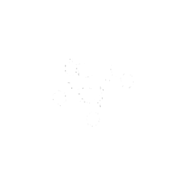 Cc1ccn([C@@H]2O[C@@](COC(=O)c3ccccc3)(N=[N+]=[N-])[C@@H](OC(=O)c3ccccc3)[C@H]2OC(=O)c2ccccc2)c(=O)n1